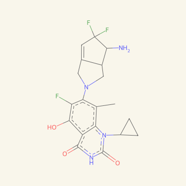 Cc1c(N2CC3=CC(F)(F)C(N)C3C2)c(F)c(O)c2c(=O)[nH]c(=O)n(C3CC3)c12